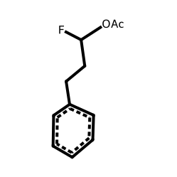 CC(=O)OC(F)CCc1ccccc1